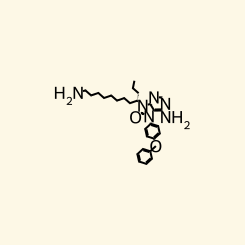 CCC[C@@H](CCCCCCCCN)n1c(=O)n(-c2ccc(Oc3ccccc3)cc2)c2c(N)ncnc21